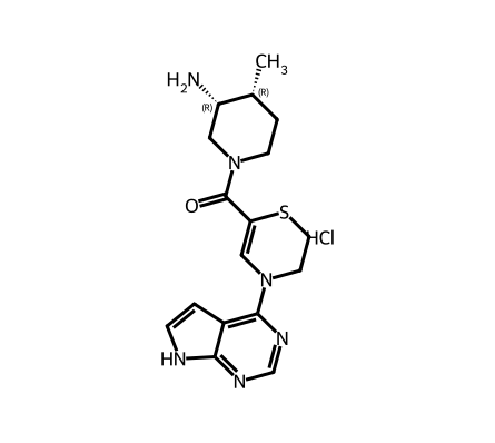 C[C@@H]1CCN(C(=O)C2=CN(c3ncnc4[nH]ccc34)CCS2)C[C@@H]1N.Cl